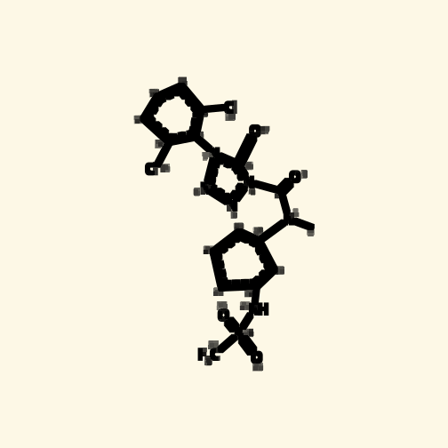 CN(C(=O)n1nnn(-c2c(Cl)cccc2Cl)c1=O)c1cccc(NS(=O)(=O)C(F)(F)F)c1